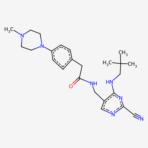 CN1CCN(c2ccc(CC(=O)NCc3cnc(C#N)nc3NCC(C)(C)C)cc2)CC1